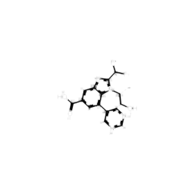 C[C@H](CO)n1c(C(F)F)nc2cc(C(=O)O)cc(-c3cncnc3)c21